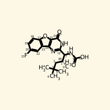 C[C@H](CC(C)(C)C)C(NC(=O)O)c1nc2c(oc3ccc(F)cc32)c(=O)[nH]1